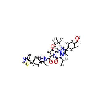 Cc1ncsc1-c1ccc([C@H](C)NC(=O)C2CC(O[Si](C)(C)C(C)(C)C)CN2C(=O)[C@H](C(C)C)n2cc(C3CCC(C=O)CC3)nn2)cc1